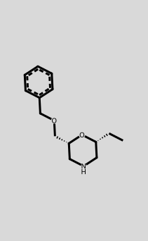 CC[C@@H]1CNC[C@H](COCc2ccccc2)O1